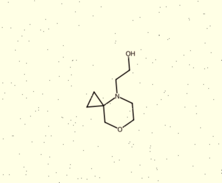 OCCN1CCOCC12CC2